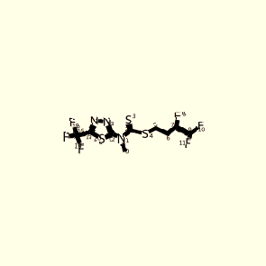 CN(C(=S)SCCC(F)=C(F)F)c1nnc(C(F)(F)F)s1